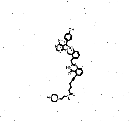 CN1CCN(CCN(C)C(=O)CCCC#Cc2cccc3nc(Cc4cccc(Cl)c4Cn4nc(-c5ccc(O)cc5)c5c(N)ncnc54)[nH]c(=O)c23)CC1